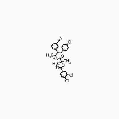 CC(NC(=O)C(C)(C)OC(=O)c1ccc(Cl)c(Cl)c1)C(Cc1ccc(Cl)cc1)c1cccc(C#N)c1